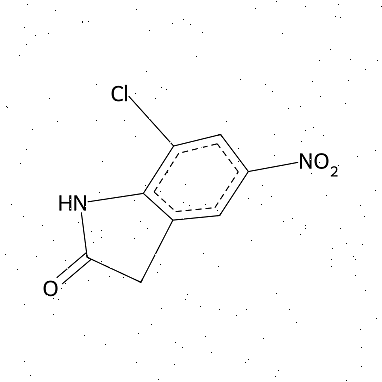 O=C1Cc2cc([N+](=O)[O-])cc(Cl)c2N1